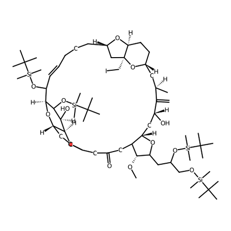 C=C1[C@H](C)C[C@H]2CC[C@@H]3O[C@@H](CCC/C=C/C(O[Si](C)(C)C(C)(C)C)[C@@H]4O[C@H]5CCC(CC(=O)CC6[C@@H](OC)C(CC(CO[Si](C)(C)C(C)(C)C)O[Si](C)(C)C(C)(C)C)O[C@H]6C[C@H]1O)O[C@@H]5[C@H](O)C4O[Si](C)(C)C(C)(C)C)C[C@]3(CI)O2